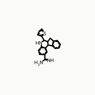 N=C(N)c1ccc2c(c1)C1c3ccccc3CC1C(c1cccs1)N2